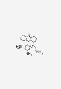 C[n+]1c2ccccc2c(-c2ccc(N)cc2)c2c(C(=O)CCN)cccc21.Cl.[Cl-]